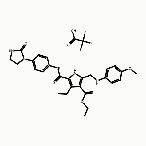 CCOC(=O)c1c(CNc2ccc(OC)cc2)[nH]c(C(=O)Nc2ccc(N3CCNC3=O)cc2)c1CC.O=C(O)C(F)(F)F